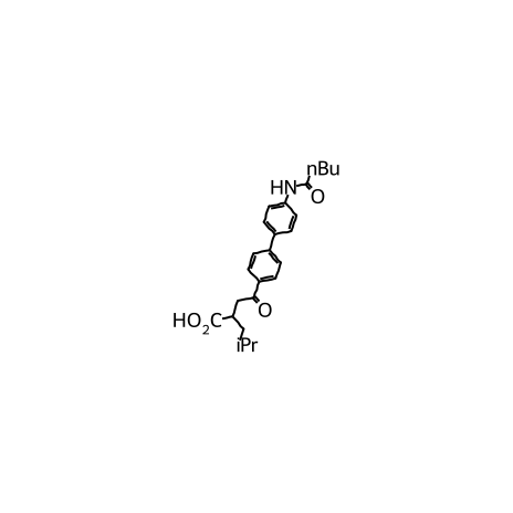 CCCCC(=O)Nc1ccc(-c2ccc(C(=O)CC(CC(C)C)C(=O)O)cc2)cc1